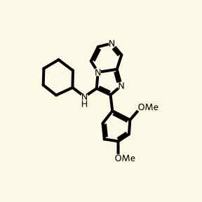 COc1ccc(-c2nc3cnccn3c2NC2CCCCC2)c(OC)c1